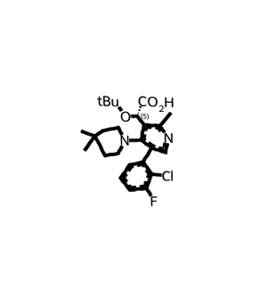 Cc1ncc(-c2cccc(F)c2Cl)c(N2CCC(C)(C)CC2)c1[C@H](OC(C)(C)C)C(=O)O